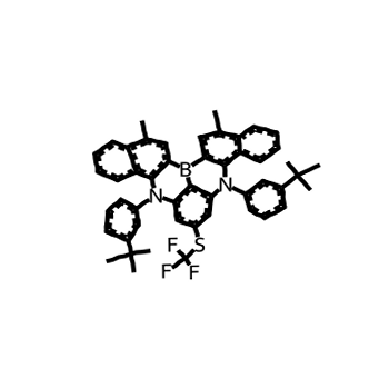 Cc1cc2c(c3ccccc13)N(c1cccc(C(C)(C)C)c1)c1cc(SC(F)(F)F)cc3c1B2c1cc(C)c2ccccc2c1N3c1cccc(C(C)(C)C)c1